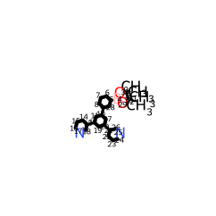 CC1(C)OB(c2cccc(-c3cc(-c4cccnc4)cc(-c4cccnc4)c3)c2)OC1(C)C